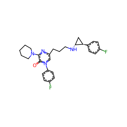 O=c1c(N2CCCCC2)nc(CCCN[C@@H]2C[C@H]2c2ccc(F)cc2)cn1-c1ccc(F)cc1